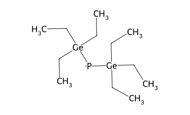 C[CH2][Ge]([CH2]C)([CH2]C)[P][Ge]([CH2]C)([CH2]C)[CH2]C